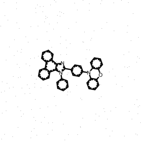 c1ccc(-n2c(-c3ccc(N4c5ccccc5Oc5ccccc54)cc3)nc3c4ccccc4c4ccccc4c32)cc1